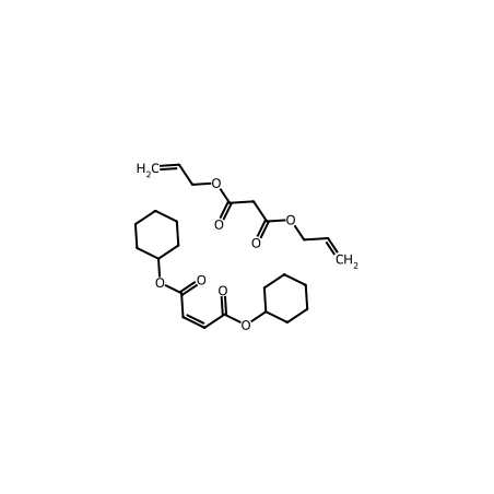 C=CCOC(=O)CC(=O)OCC=C.O=C(/C=C\C(=O)OC1CCCCC1)OC1CCCCC1